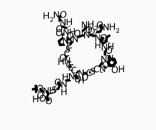 CC[C@H](C)[C@@H]1NC(=O)[C@H](Cc2ccc(O)cc2)NC(=O)[C@@H](N(C)C)CSCC(=O)N[C@@H](C(=O)NCCNC(=O)CSC[C@H](NC(=O)OC(C)(C)C)C(=O)O)CCCNC(=O)CSC[C@@H](C(=O)N2CCC[C@H]2C(=O)N[C@@H](C)C(=O)NCC(N)=O)NC(=O)[C@H](CC(N)=O)NC(=O)[C@H](CCC(N)=O)NC1=O